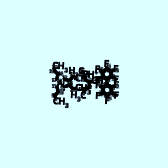 CCCC(C)C[PH2+]C.CCC[CH2][Al-]([CH2]CCC)([CH2]CCC)[CH2]CCC.Fc1c(F)c(F)c(-c2c(F)c(F)c(F)c(F)c2F)c(F)c1F